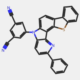 N#Cc1cc(C#N)cc(-n2c3ccc(-c4ccccc4)nc3c3c4sc5ccccc5c4ccc32)c1